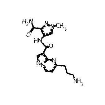 Cn1cc(NC(=O)c2cnn3ccc(CCCN)nc23)c(C(N)=O)n1